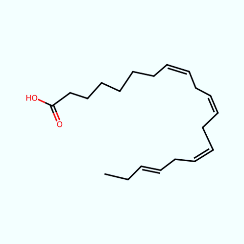 CC/C=C/C/C=C\C/C=C\C/C=C\CCCCCCC(=O)O